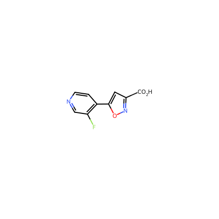 O=C(O)c1cc(-c2ccncc2F)on1